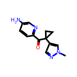 Cn1cc(C2(C(=O)c3ccc(N)cn3)CC2)cn1